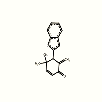 C=C1C(=O)C=CC(C)(C)C1c1cc2ccccc2o1